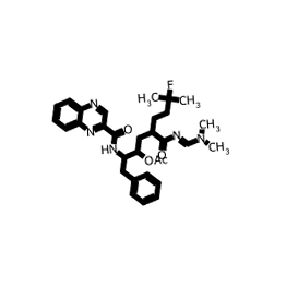 CC(=O)OC(CC(CCC(C)(C)F)C(=O)N=CN(C)C)C(Cc1ccccc1)NC(=O)c1cnc2ccccc2n1